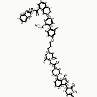 Cc1cc(OCCCN2CC(C)N(CC(=O)N3CCN(c4cccc5c(C6CCC(=O)NC6=O)nn(C)c45)CC3)C(C)C2)ccc1-c1ccc(N2CCc3cccc(C(=O)Nc4nc5ccccc5s4)c3C2)nc1C(=O)O